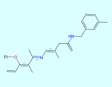 C=C/C(OCC)=C(C)/C(C)=N/C=C(\C)CC(=C)NCc1cccc(C)c1